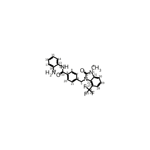 Cn1c(=O)n(Cc2ccc(C(=O)Nc3ccccc3N)cc2)c2c(C(F)(F)F)cccc21